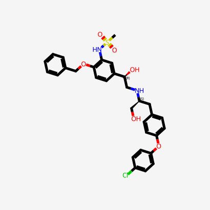 CS(=O)(=O)Nc1cc([C@@H](O)CN[C@H](CO)Cc2ccc(Oc3ccc(Cl)cc3)cc2)ccc1OCc1ccccc1